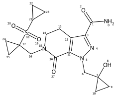 NC(=O)c1nn(CC2(O)CC2)c2c1CCN(CC1(S(=O)(=O)C3CC3)CC1)C2=O